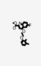 COC(=O)c1cc(OCCOc2cccc(C)c2C)c2cc(F)ccc2n1